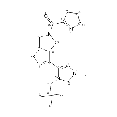 CN1C=C(C2=CCC3CN(C(=O)c4ccon4)CC23)N(CC(C)(C)C)C1